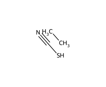 CC.N#CS